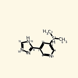 C[SH](C)c1cncc(-c2nnc[nH]2)c1